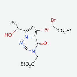 CCOC(=O)CBr.CCOC(=O)Cn1cnn2c(C(O)C(C)C)cc(Br)c2c1=O